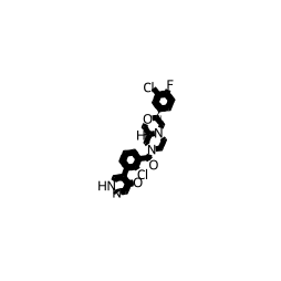 O=C(c1cccc(-c2c[nH]ncc2=O)c1Cl)N1CCN2C[C@@H](c3ccc(F)c(Cl)c3)OC[C@@H]2C1